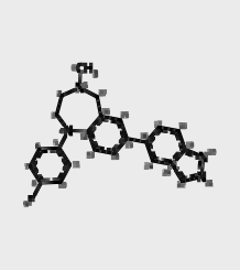 CN1CCN(c2ccc(F)cc2)c2ccc(-c3ccc4nncn4c3)cc2C1